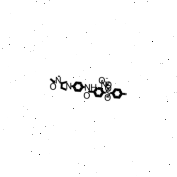 CC(=O)N(C)C1CCN(c2ccc(NC(=O)c3ccc(S(=O)(=O)c4ccc(C)cc4)c([N+](=O)[O-])c3)cc2)C1